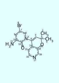 CC1(C)C=C(n2cc(Br)cc(N)c2=O)c2ccncc2O1